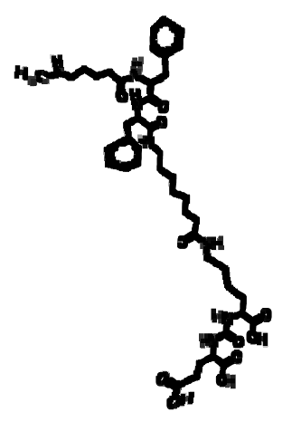 CNCCCCC(=O)NC(Cc1ccccc1)C(=O)NC(Cc1ccccc1)C(=O)NCCCCCCCC(=O)NCCCCC(NC(=O)NC(CCC(=O)O)C(=O)O)C(=O)O